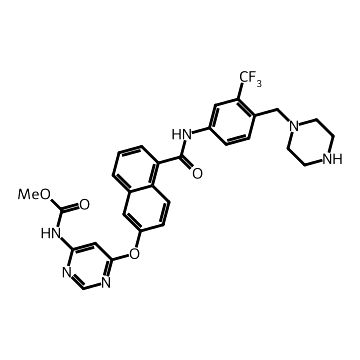 COC(=O)Nc1cc(Oc2ccc3c(C(=O)Nc4ccc(CN5CCNCC5)c(C(F)(F)F)c4)cccc3c2)ncn1